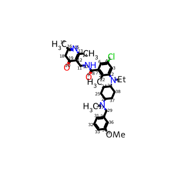 CCN(c1cc(Cl)cc(C(=O)NCC2=C(C)N=C(C)CC2=O)c1C)[C@H]1CC[C@H](N(C)Cc2cccc(OC)c2)CC1